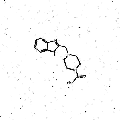 O=C(O)N1CCN(Cc2nc3ccccc3[nH]2)CC1